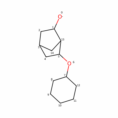 [O]C1CC2CC(OC3[CH]CCCC3)C1C2